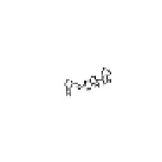 c1ccn2c(-c3ccc4cc(OCC5CCCNC5)ccc4n3)nnc2c1